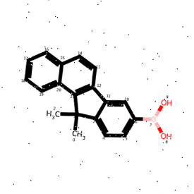 CC1(C)c2ccc(B(O)O)cc2-c2ccc3ccccc3c21